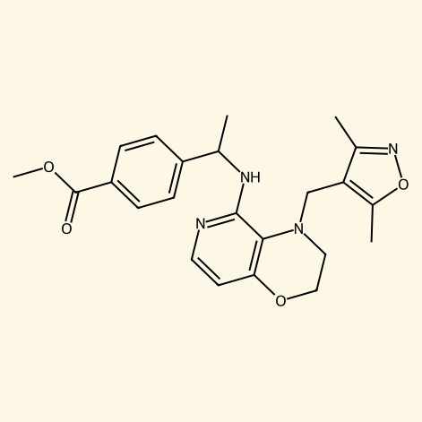 COC(=O)c1ccc(C(C)Nc2nccc3c2N(Cc2c(C)noc2C)CCO3)cc1